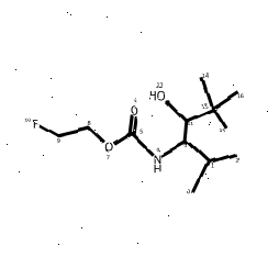 CC(C)C(NC(=O)OCCF)C(O)C(C)(C)C